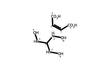 O=C(O)/C=C\C(=O)O.ONC(NO)NO